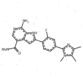 CNC(=O)c1cnc(N)c2[nH]c(-c3ccc(-c4nc(C)c(C)n4C)cc3F)cc12